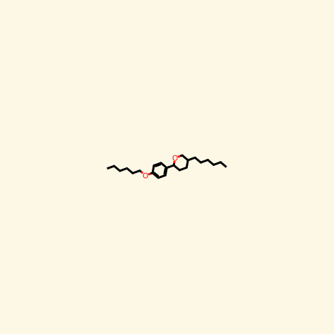 CCCCCCOc1ccc(C2CCC(CCCCCC)CO2)cc1